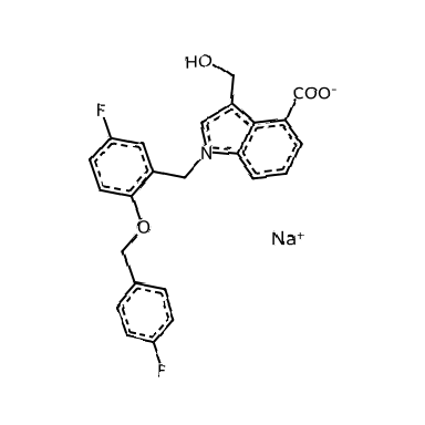 O=C([O-])c1cccc2c1c(CO)cn2Cc1cc(F)ccc1OCc1ccc(F)cc1.[Na+]